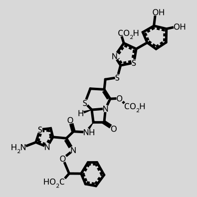 Nc1nc(C(=NOC(C(=O)O)c2ccccc2)C(=O)N[C@@H]2C(=O)N3C(OC(=O)O)=C(CSc4nc(C(=O)O)c(-c5ccc(O)c(O)c5)s4)CS[C@@H]23)cs1